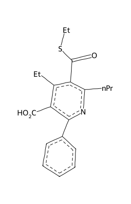 CCCc1nc(-c2ccccc2)c(C(=O)O)c(CC)c1C(=O)SCC